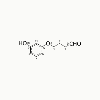 O=CCCCOc1cccc(O)c1